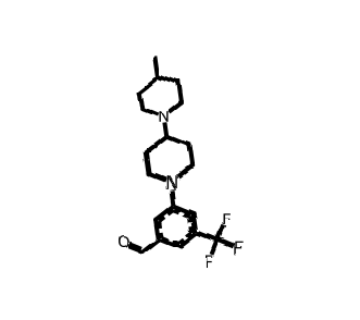 CC1CCN(C2CCN(c3cc(C=O)cc(C(F)(F)F)c3)CC2)CC1